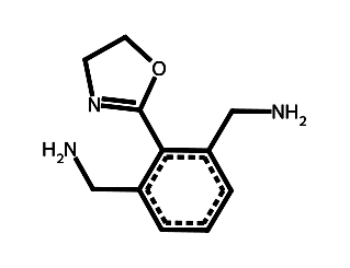 NCc1cccc(CN)c1C1=NCCO1